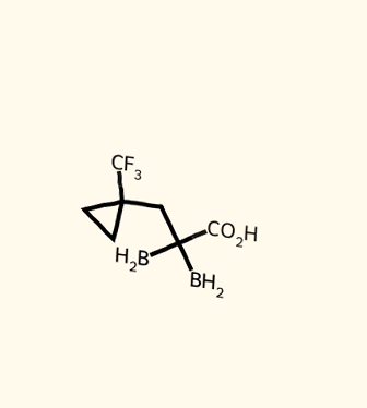 BC(B)(CC1(C(F)(F)F)CC1)C(=O)O